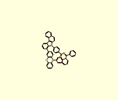 C1=CC2N=C(c3ccc(-n4c5ccc6ccccc6c5c5cccc(-c6ccc7c(c6)Oc6ccccc6N7c6ccccc6)c54)cc3)N=C(c3ccccc3)C2C=C1